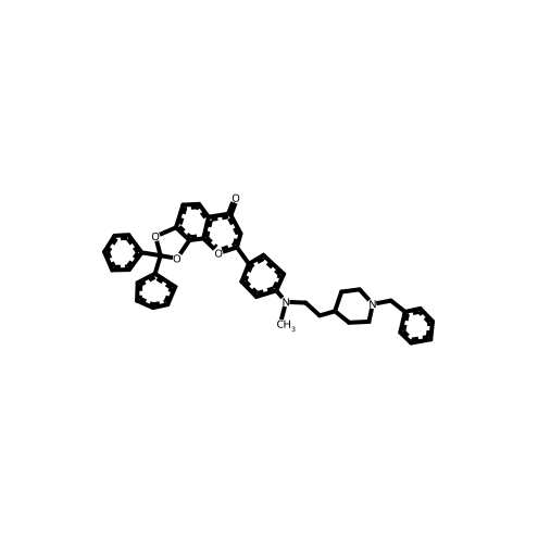 CN(CCC1CCN(Cc2ccccc2)CC1)c1ccc(-c2cc(=O)c3ccc4c(c3o2)OC(c2ccccc2)(c2ccccc2)O4)cc1